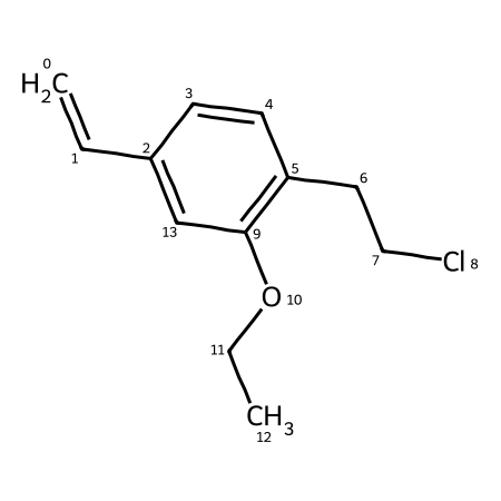 C=Cc1ccc(CCCl)c(OCC)c1